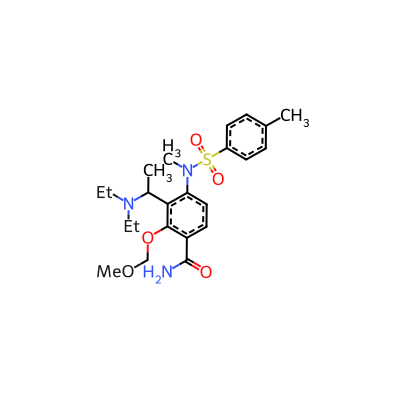 CCN(CC)C(C)c1c(N(C)S(=O)(=O)c2ccc(C)cc2)ccc(C(N)=O)c1OCOC